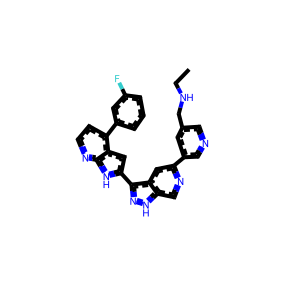 CCNCc1cncc(-c2cc3c(-c4cc5c(-c6cccc(F)c6)ccnc5[nH]4)n[nH]c3cn2)c1